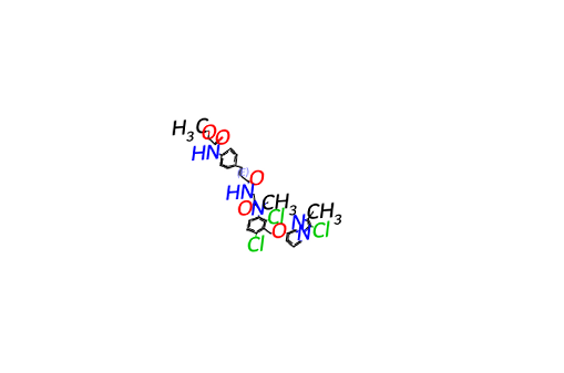 COCC(=O)Nc1ccc(/C=C/C(=O)NCC(=O)N(C)c2ccc(Cl)c(COc3cccn4c(Cl)c(C)nc34)c2Cl)cc1